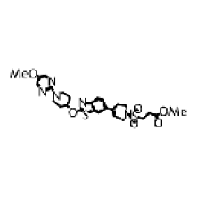 COC(=O)CCS(=O)(=O)N1CC=C(c2ccc3nc(OC4CCN(c5ncc(OC)cn5)CC4)sc3c2)CC1